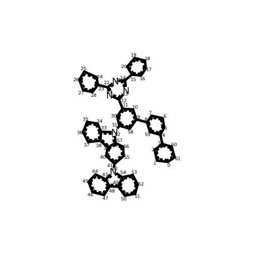 c1ccc(-c2cccc(-c3cc(-c4nc(-c5ccccc5)nc(-c5ccccc5)n4)cc(-n4c5ccccc5c5cc(-n6c7ccccc7c7ccccc76)ccc54)c3)c2)cc1